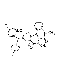 C[C@@H]1CN2c3c(c(=O)n(C)c4ccccc34)N(C)C(=O)[C@H]2CN1C(c1ccc(F)cc1)c1ccc(F)cc1